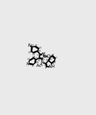 CC(=O)N(c1c[nH]c2ccccc12)c1c(-c2ccncc2)c(-c2ccc(F)cc2)nn1C